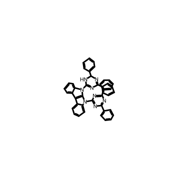 c1ccc(C2=NC(c3ccccc3)NC(n3c4ccccc4c4c5ccccc5n(-c5nc(-c6ccccc6)nc(-c6ccccc6)n5)c43)=N2)cc1